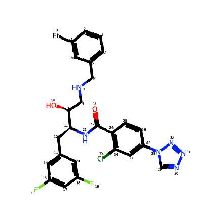 CCc1cccc(CNC[C@H](O)[C@H](Cc2cc(F)cc(F)c2)NC(=O)c2ccc(-n3cnnn3)cc2Cl)c1